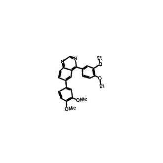 CCOc1ccc(-c2ncnc3ccc(-c4ccc(OC)c(OC)c4)cc23)cc1OCC